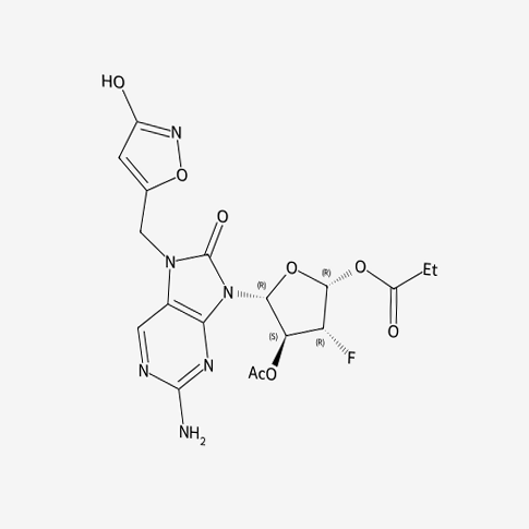 CCC(=O)O[C@H]1O[C@@H](n2c(=O)n(Cc3cc(O)no3)c3cnc(N)nc32)[C@H](OC(C)=O)[C@H]1F